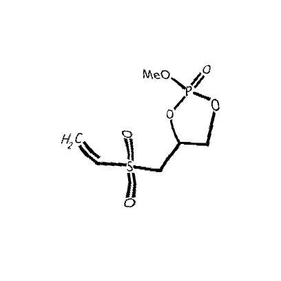 C=CS(=O)(=O)CC1COP(=O)(OC)O1